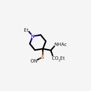 CCOC(=O)C(NC(C)=O)C1(SN=O)CCN(CC)CC1